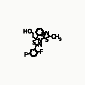 Cc1nnc(N2N=C(c3cc(F)ccc3F)SC2(CCO)c2ccccc2)s1